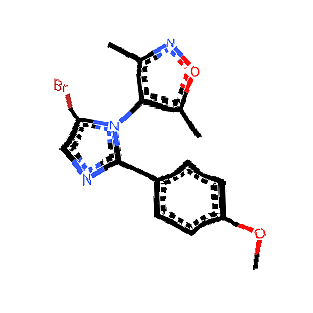 COc1ccc(-c2ncc(Br)n2-c2c(C)noc2C)cc1